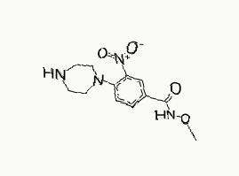 CONC(=O)c1ccc(N2CCNCC2)c([N+](=O)[O-])c1